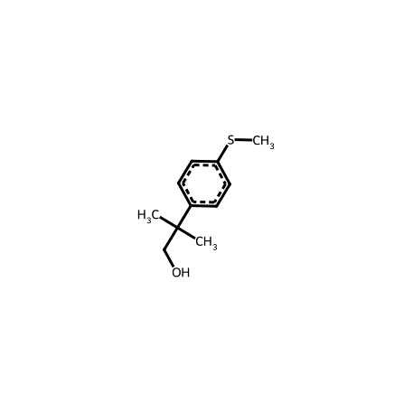 CSc1ccc(C(C)(C)CO)cc1